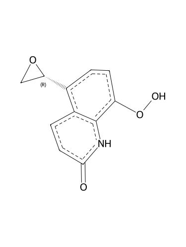 O=c1ccc2c([C@@H]3CO3)ccc(OO)c2[nH]1